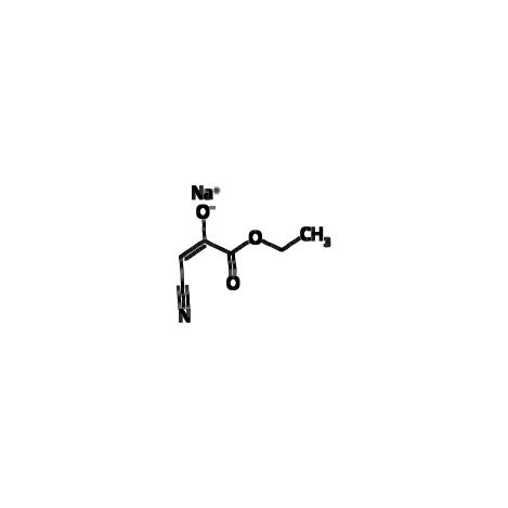 CCOC(=O)/C([O-])=C\C#N.[Na+]